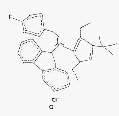 CCC1=[C](/[Zr+2](=[CH]/c2ccc(F)cc2)[CH]2c3ccccc3-c3ccccc32)C(CC)C=C1C(C)(C)C.[Cl-].[Cl-]